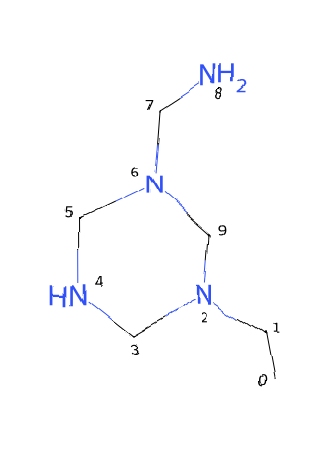 CCN1CNCN(CN)C1